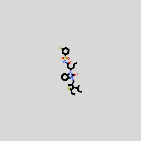 C=Cc1scc(Cn2c(=O)n(C(CCC)CC(=O)NS(=O)(=O)c3cccc(F)c3)c3ccccc32)c1C(C)=CC